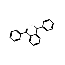 O=C(c1ccccc1)c1ccccc1C(Br)c1ccccc1